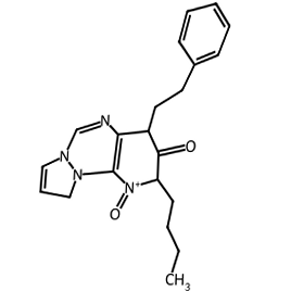 CCCCC1C(=O)C(CCc2ccccc2)C2=C(N3CC=CN3C=N2)[N+]1=O